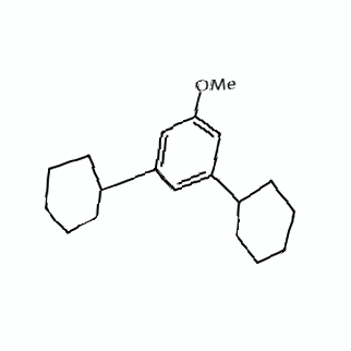 COc1cc(C2CCCCC2)cc(C2CCCCC2)c1